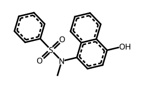 CN(c1ccc(O)c2ccccc12)S(=O)(=O)c1ccccc1